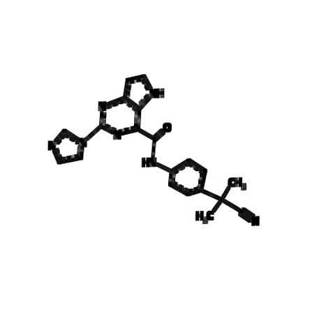 CC(C)(C#N)c1ccc(NC(=O)c2nc(-n3ccnc3)nc3cc[nH]c23)cc1